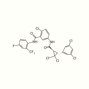 O=C(Nc1ccc(F)cc1C(F)(F)F)c1cc(NC(=O)[C@H]2[C@H](c3cc(Cl)cc(Cl)c3)C2(Cl)Cl)ccc1Cl